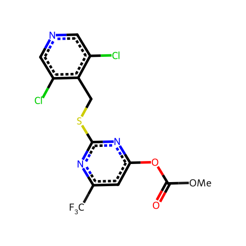 COC(=O)Oc1cc(C(F)(F)F)nc(SCc2c(Cl)cncc2Cl)n1